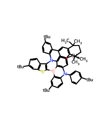 Cc1cc2c3c(c1)N(c1ccc(C(C)(C)C)cc1-c1ccc4c(c1)C(C)(C)CCC4(C)C)c1c(sc4cc(C(C)(C)C)ccc14)B3c1cc(C(C)(C)C)ccc1N2c1ccc(C(C)(C)C)cc1